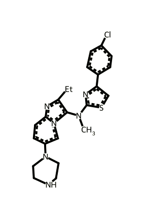 CCc1nc2ccc(N3CCNCC3)cn2c1N(C)c1nc(-c2ccc(Cl)cc2)cs1